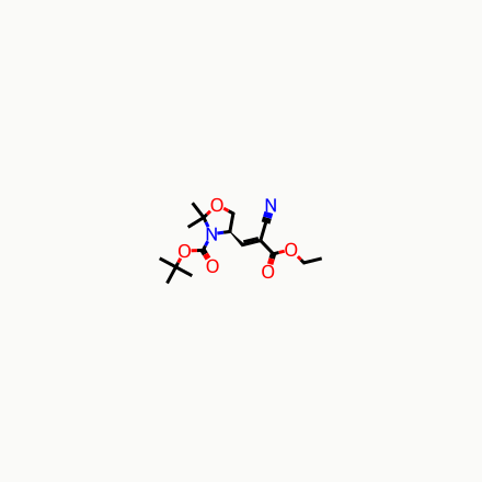 CCOC(=O)/C(C#N)=C/[C@@H]1COC(C)(C)N1C(=O)OC(C)(C)C